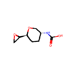 O=C(O)N[C@@H]1CC[C@@H](C2CO2)OC1